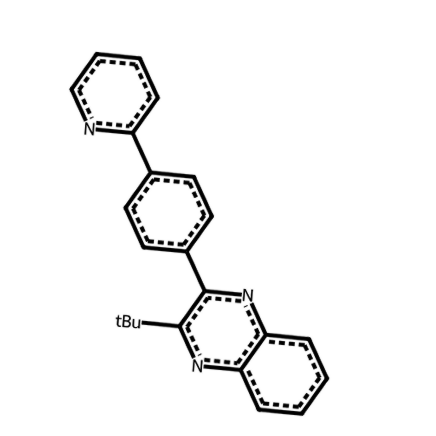 CC(C)(C)c1nc2ccccc2nc1-c1ccc(-c2ccccn2)cc1